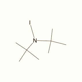 CC(C)(C)N(I)C(C)(C)C